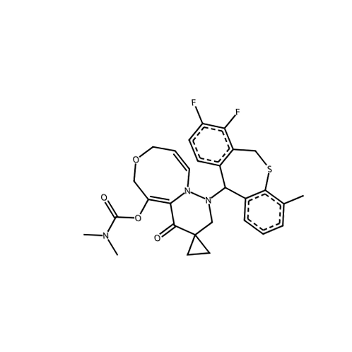 Cc1cccc2c1SCc1c(ccc(F)c1F)C2N1CC2(CC2)C(=O)/C2=C(\OC(=O)N(C)C)COC/C=C\N21